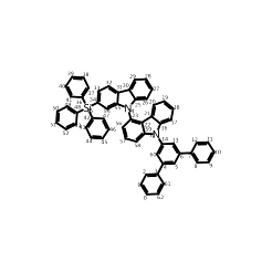 c1ccc(-c2cc(-c3ccccc3)cc(-n3c4ccccc4c4c(-n5c6ccccc6c6ccc([Si](c7ccccc7)(c7ccccc7)c7ccccc7)cc65)cccc43)c2)cc1